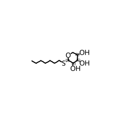 CCCCCCCS[C@@H]1OC[C@@H](O)[C@H](O)[C@H]1O